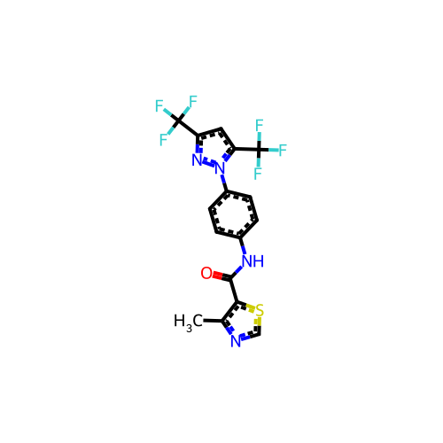 Cc1ncsc1C(=O)Nc1ccc(-n2nc(C(F)(F)F)cc2C(F)(F)F)cc1